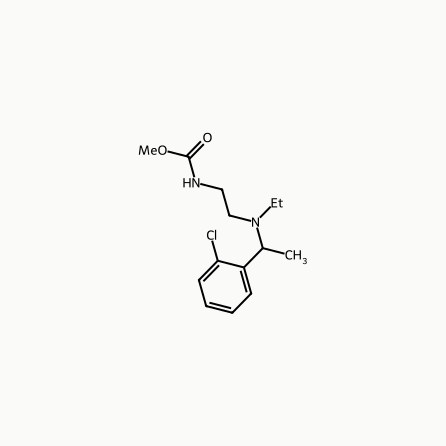 CCN(CCNC(=O)OC)C(C)c1ccccc1Cl